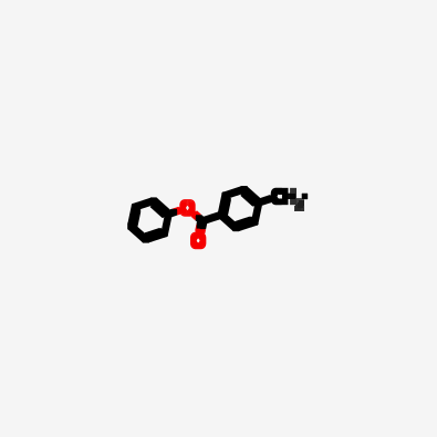 [CH2]c1ccc(C(=O)Oc2ccccc2)cc1